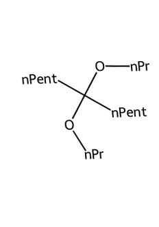 CCCCCC(CCCCC)(OCCC)OCCC